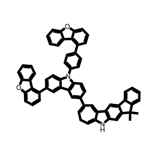 CC1(C)c2ccccc2-c2cc3c4c([nH]c3cc21)=CCC=C(c1ccc2c(c1)c1cc(-c3cccc5oc6ccccc6c35)ccc1n2-c1ccc(-c2cccc3oc5ccccc5c23)cc1)C=4